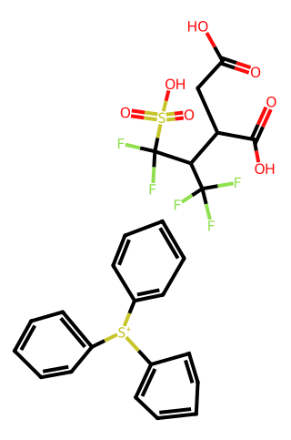 O=C(O)CC(C(=O)O)C(C(F)(F)F)C(F)(F)S(=O)(=O)O.c1ccc([S+](c2ccccc2)c2ccccc2)cc1